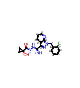 N=C(NNC(=O)C1(O)CC1)c1nn(Cc2ccccc2F)c2ncccc12